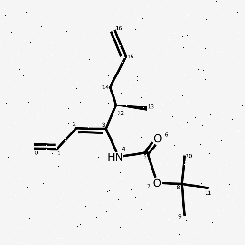 C=C/C=C(\NC(=O)OC(C)(C)C)[C@H](C)CC=C